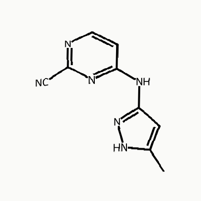 Cc1cc(Nc2ccnc(C#N)n2)n[nH]1